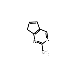 Cc1ncc2c(n1)CC=C2